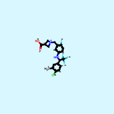 Cc1cc(C(Nc2ccc(F)c(CN3CC(C(=O)O)C3)c2)C(F)(F)F)ccc1Cl